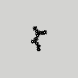 C1=CCCC(N(C2=CC=C(C3=CCC(c4ccccc4)S3)CC2)c2ccc(-c3ccc(N(c4ccc(-c5ccccc5)cc4)c4ccc(-c5ccccc5)cc4)cc3)cc2)=C1